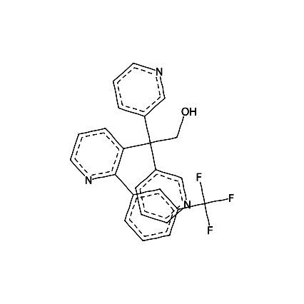 OCC(c1cccnc1)(c1cccnc1)c1cccnc1-c1cccc(C(F)(F)F)c1